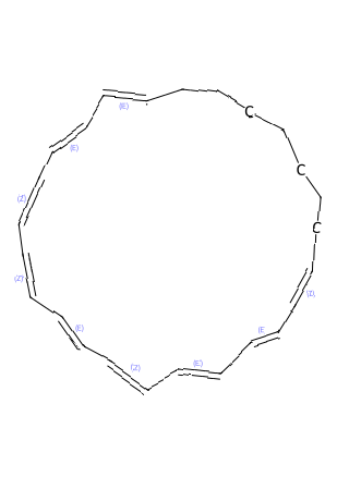 [C]1=C/C=C/C=C\C=C/C=C/C=C\C=C\C=C\C=C/CCCCCCC/1